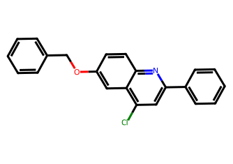 Clc1cc(-c2ccccc2)nc2ccc(OCc3ccccc3)cc12